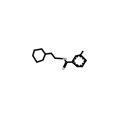 Cc1cccc(C(=O)NCCC2CCCCC2)c1